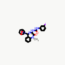 CN1C(=O)[C@H](NC(=O)Nc2cccc(I)c2)N=C(N2CC3CCC(CC3)C2)c2ccccc21